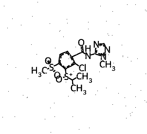 CC(C)[S+]([O-])c1c(S(C)(=O)=O)ccc(C(=O)Nc2ncnn2C)c1Cl